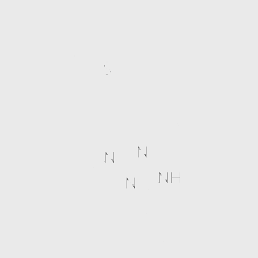 C1=CC2c3cc(-c4cccc5c4sc4ccccc45)ccc3N(C3=NC(c4ccccc4)NC(c4ccccc4)=N3)C2C=C1